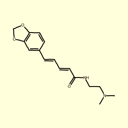 CN(C)CCNC(=O)/C=C/C=C/c1ccc2c(c1)OCO2